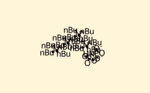 CCCC[N+](CCCC)(CCCC)CCCC.CCCC[N+](CCCC)(CCCC)CCCC.CCCC[N+](CCCC)(CCCC)CCCC.CCCC[N+](CCCC)(CCCC)CCCC.O=P([O-])([O-])NP(=O)([O-])[O-]